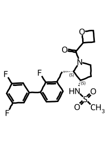 CS(=O)(=O)N[C@H]1CCN(C(=O)C2CCO2)[C@H]1Cc1cccc(-c2cc(F)cc(F)c2)c1F